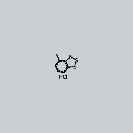 Cc1cccc2c1[N]SS2.Cl